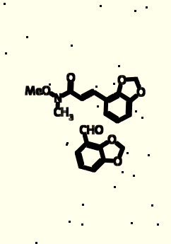 CON(C)C(=O)/C=C/c1cccc2c1OCO2.O=Cc1cccc2c1OCO2